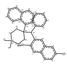 COc1nc2ccc(Cl)cc2cc1C(c1ccccc1)C1(c2cccc3ccccc23)CC[N+](C)(C)CO1